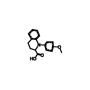 COc1ccc(N2c3ccccc3CCC2C(=O)O)cc1